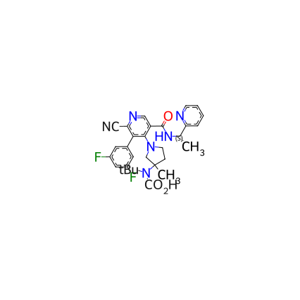 C[C@H](NC(=O)c1cnc(C#N)c(-c2cc(F)cc(F)c2)c1N1CCC(C)(N(C(=O)O)C(C)(C)C)C1)c1ccccn1